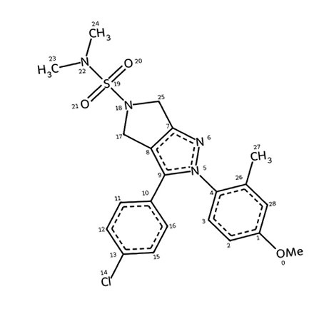 COc1ccc(-n2nc3c(c2-c2ccc(Cl)cc2)CN(S(=O)(=O)N(C)C)C3)c(C)c1